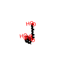 CC(/C=C/C=C(\C)C(O)C(C)C(=O)O[C@H]1C[C@@H](C)C=C2C=C[C@]3(C)O[C@@H](O)CC(=O)[C@]3(C)[C@H]21)=C\C=C\C(=O)O